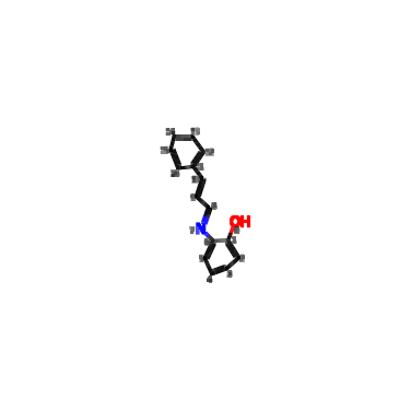 Oc1ccccc1/N=C/C=C/c1ccccc1